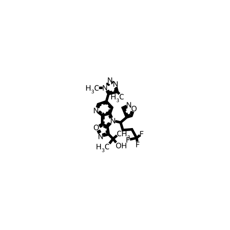 Cc1nnn(C)c1-c1cnc2c3onc(C(C)(C)O)c3n(C(CCC(F)(F)F)c3cnoc3)c2c1